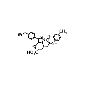 Cc1ccc(NC(=O)C[C@@H](CCC(=O)O)c2noc(-c3ccc(CC(C)C)cc3)c2C2CC2)c(Cl)c1